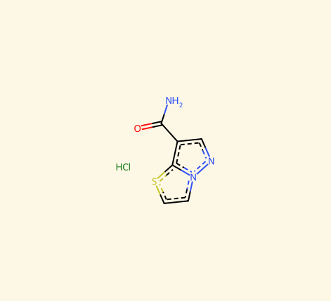 Cl.NC(=O)c1cnn2ccsc12